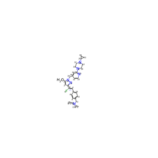 Cc1cc(/C(F)=C/c2ccc(CN(C(C)C)C(C)C)cc2)nn1Cc1ccnc(N2CCN(C3CC3)CC2)c1